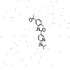 CC(=O)c1ccc(C)c(N(C)C(=O)c2ccc(N(C)C(C)C)nc2)c1